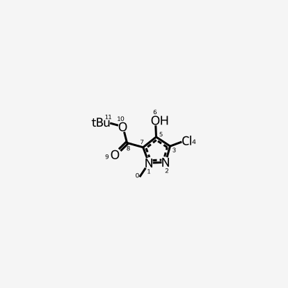 Cn1nc(Cl)c(O)c1C(=O)OC(C)(C)C